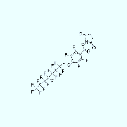 O=C(ON1C(=O)CCC1=O)c1c(F)c(F)c(OCC(F)(F)C(F)(F)C(F)(F)C(F)(F)C(F)(F)C(F)(F)C(F)(F)F)c(F)c1F